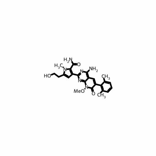 COn1c(=O)c(-c2c(C)cccc2C)cc2c(N)nc(-c3cc(CCO)n(C)c3C(N)=O)nc21